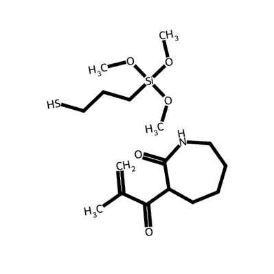 C=C(C)C(=O)C1CCCCNC1=O.CO[Si](CCCS)(OC)OC